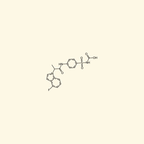 CC(C(=O)Nc1ccc(S(=O)(=O)NC(=O)O)cc1)n1ccc2c(F)cccc21